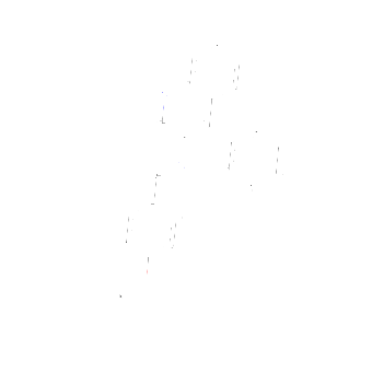 CNC(=O)[C@@H](NC(=O)c1ccc(OC(F)(F)F)cc1)C(c1ccccc1)c1ccccc1